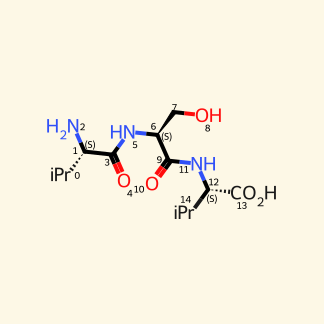 CC(C)[C@H](N)C(=O)N[C@@H](CO)C(=O)N[C@H](C(=O)O)C(C)C